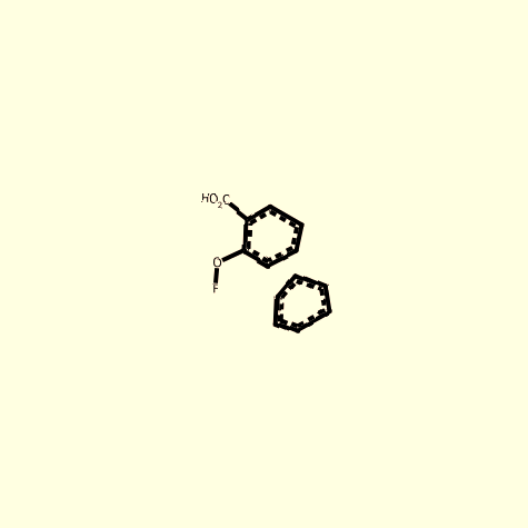 O=C(O)c1ccccc1OF.c1ccccc1